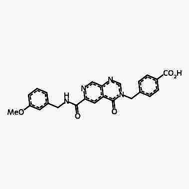 COc1cccc(CNC(=O)c2cc3c(=O)n(Cc4ccc(C(=O)O)cc4)cnc3cn2)c1